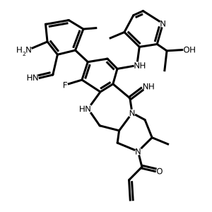 C=CC(=O)N1CC2CNc3c(F)c(-c4c(C)ccc(N)c4C=N)cc(Nc4c(C)ccnc4C(C)O)c3C(=N)N2CC1C